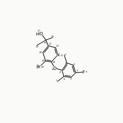 Cc1cc(F)cc(C)c1Oc1ncc(C(C)(C)O)cc1Br